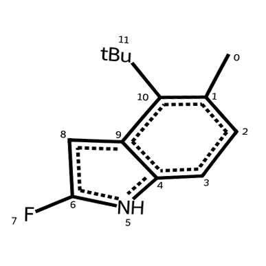 Cc1ccc2[nH]c(F)cc2c1C(C)(C)C